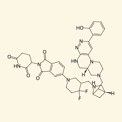 O=C1CCC(N2C(=O)c3ccc(N4CCC(F)(F)C(CN5C[C@@H]6CC5[C@H]6CN5CCN6c7cc(-c8ccccc8O)nnc7NC[C@H]6C5)C4)cc3C2=O)C(=O)N1